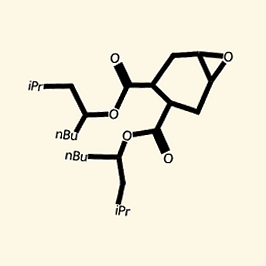 CCCCC(CC(C)C)OC(=O)C1CC2OC2CC1C(=O)OC(CCCC)CC(C)C